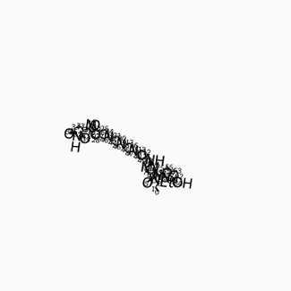 C=CCn1c(=O)c2cnc(Nc3ccc(N4CCC(N5CCC(N6CCc7c(ccc8c(C9CCC(=O)NC9=O)noc78)C6)CC5)CC4)cc3)nc2n1-c1ccc2c(n1)[C@@](O)(CC)CC2